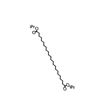 CC(C)OC(=O)CCCCCCCCCCCCCCCCCCCCCCC(=O)OC(C)C